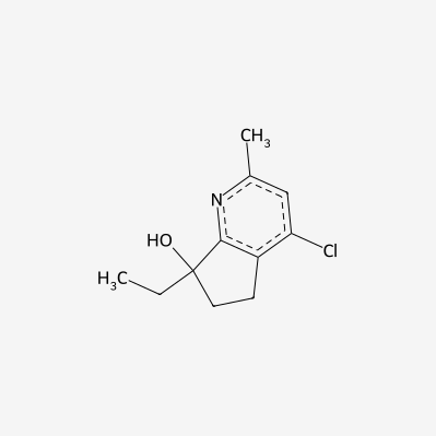 CCC1(O)CCc2c(Cl)cc(C)nc21